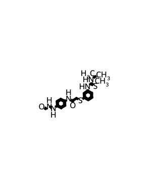 CC(C)(C)NC(=S)Nc1cccc(SCC(=O)Nc2ccc(NNC=O)cc2)c1